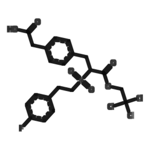 O=C(O)Cc1ccc(CC(C(=O)OCC(Cl)(Cl)Cl)S(=O)(=O)CCc2ccc(F)cc2)cc1